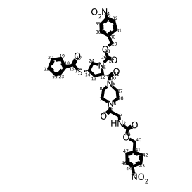 O=C(NCC(=O)N1CCN(C(=O)[C@@H]2C[C@H](SC(=O)c3ccccc3)CN2C(=O)OCc2ccc([N+](=O)[O-])cc2)CC1)OCc1ccc([N+](=O)[O-])cc1